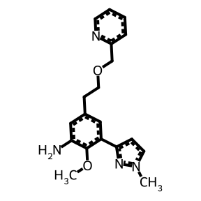 COc1c(N)cc(CCOCc2ccccn2)cc1-c1ccn(C)n1